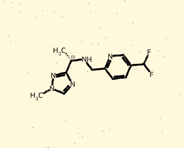 C[C@H](NCc1ccc(C(F)F)cn1)c1ncn(C)n1